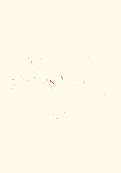 c1ccc2c(N(c3ccccc3)c3ccccc3)cc3c(c2c#1)B1c2c(cccc2O3)Oc2cc(N(c3ccccc3)c3ccccc3)c3c(c21)CCC=C3